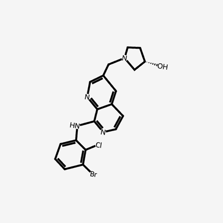 O[C@H]1CCN(Cc2cnc3c(Nc4cccc(Br)c4Cl)nccc3c2)C1